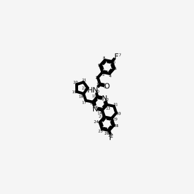 O=C(Cc1ccc(F)cc1)Nc1nc2c(nc1CC1CCCC1)-c1ccc(F)cc1CC2